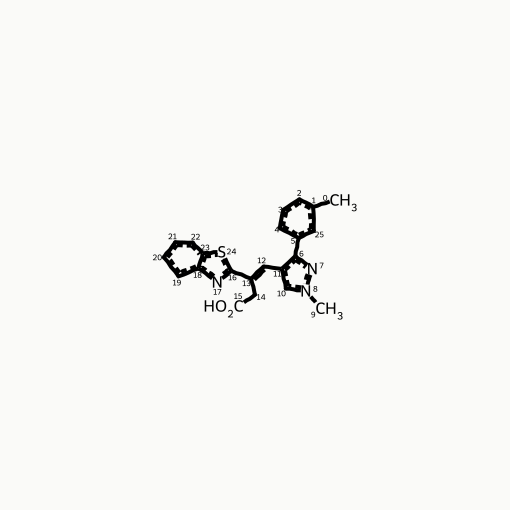 Cc1cccc(-c2nn(C)cc2/C=C(\CC(=O)O)c2nc3ccccc3s2)c1